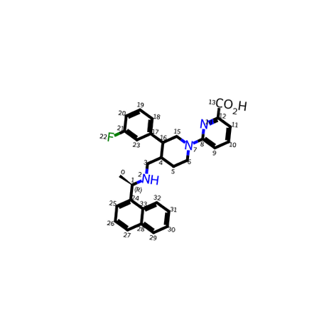 C[C@@H](NCC1CCN(c2cccc(C(=O)O)n2)CC1c1cccc(F)c1)c1cccc2ccccc12